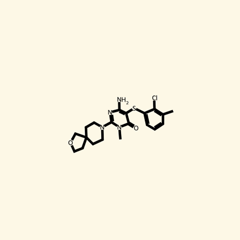 Cc1cccc(Sc2c(N)nc(N3CCC4(CCOC4)CC3)n(C)c2=O)c1Cl